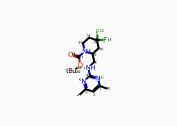 Cc1cc(C)nc(NCC2CC(F)(F)CCN2C(=O)OC(C)(C)C)n1